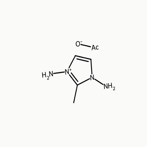 CC(=O)[O-].Cc1n(N)cc[n+]1N